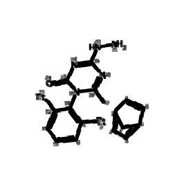 C1=CC2=CC=C1C2.CCc1cccc(CC)c1-n1c(C)nc(NN)nc1=O